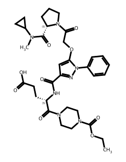 CCOC(=O)N1CCN(C(=O)[C@H](CCC(=O)O)NC(=O)c2cc(OCC(=O)N3CCC[C@H]3C(=O)N(C)C3CC3)n(-c3ccccc3)n2)CC1